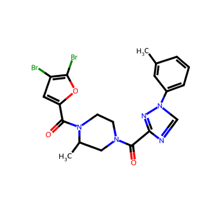 Cc1cccc(-n2cnc(C(=O)N3CCN(C(=O)c4cc(Br)c(Br)o4)C(C)C3)n2)c1